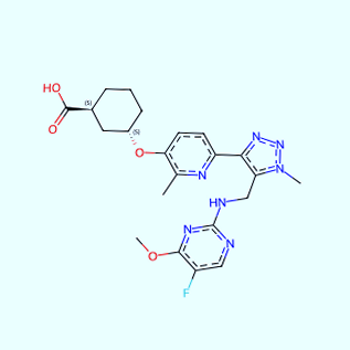 COc1nc(NCc2c(-c3ccc(O[C@H]4CCC[C@H](C(=O)O)C4)c(C)n3)nnn2C)ncc1F